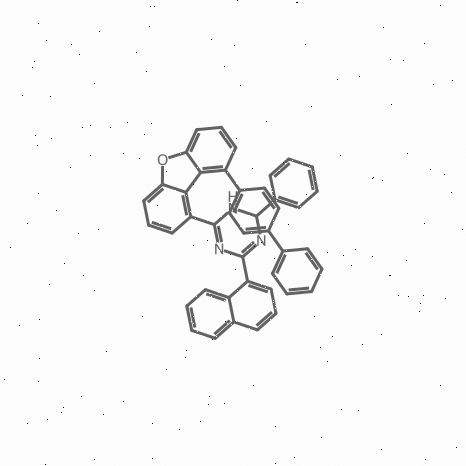 c1ccc(-c2ccc(-c3cccc4oc5cccc(C6=NC(c7cccc8ccccc78)=NC(c7ccccc7)N6)c5c34)cc2)cc1